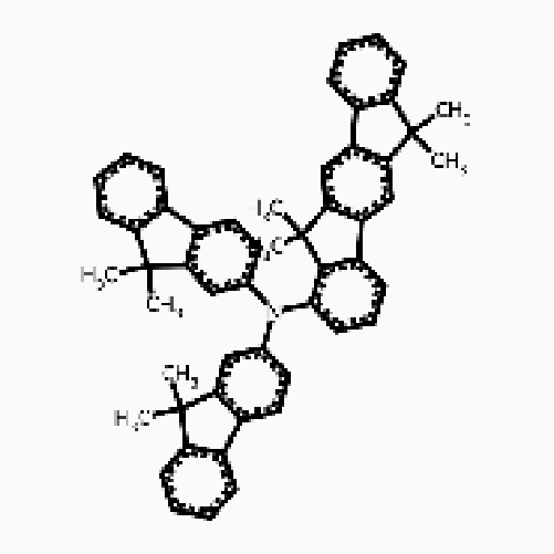 CC1(C)c2ccccc2-c2ccc(N(c3ccc4c(c3)C(C)(C)c3ccccc3-4)c3cccc4c3C(C)(C)c3cc5c(cc3-4)C(C)(C)c3ccccc3-5)cc21